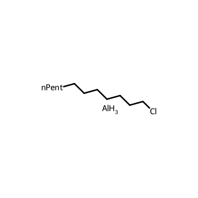 CCCCCCCCCCCCCl.[AlH3]